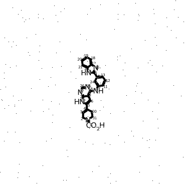 O=C(O)N1CC=C(c2cc3c(Nc4cccc(-c5nc6ccccc6[nH]5)c4)ncnc3[nH]2)CC1